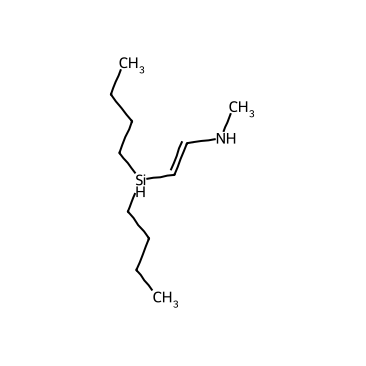 CCCC[SiH](C=CNC)CCCC